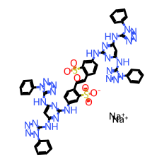 O=S(=O)([O-])c1cc(Nc2nc(Nc3nnnn3-c3ccccc3)cc(Nc3nnnn3-c3ccccc3)n2)ccc1C=Cc1ccc(Nc2nc(Nc3nnnn3-c3ccccc3)cc(Nc3nnnn3-c3ccccc3)n2)cc1S(=O)(=O)[O-].[Na+].[Na+]